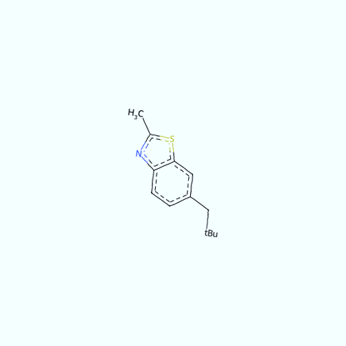 Cc1nc2ccc(CC(C)(C)C)cc2s1